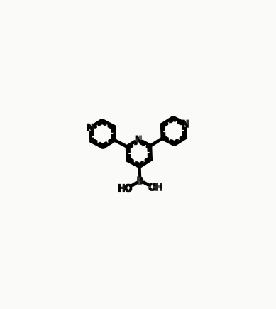 OB(O)c1cc(-c2ccncc2)nc(-c2ccncc2)c1